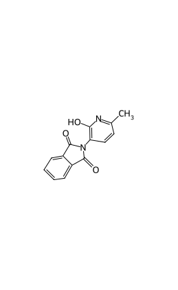 Cc1ccc(N2C(=O)c3ccccc3C2=O)c(O)n1